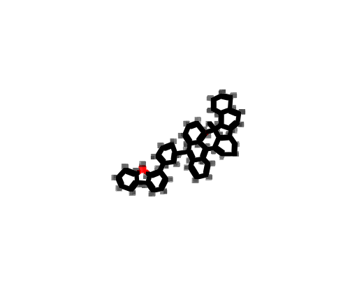 CC1(C)c2c(cccc2-c2c3ccccc3c(-c3cccc(-c4cccc5c4oc4ccccc45)c3)c3ccccc23)-c2ccc3ccccc3c21